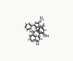 Cc1cc(-c2ccccc2)c(C(C)Nc2ncnc3[nH]cc(-c4ccc(F)cc4O)c23)[nH]1